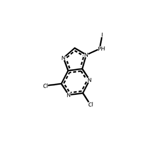 Clc1nc(Cl)c2ncn(PI)c2n1